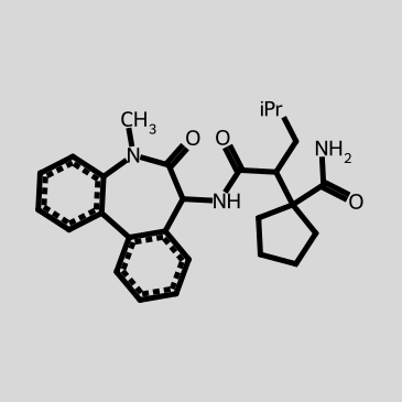 CC(C)CC(C(=O)NC1C(=O)N(C)c2ccccc2-c2ccccc21)C1(C(N)=O)CCCC1